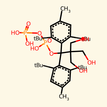 Cc1cc(C(C)(C)C)c(C(OP(=O)(O)OP(=O)(O)O)(c2c(C(C)(C)C)cc(C)cc2C(C)(C)C)C(CO)(CO)CO)c(C(C)(C)C)c1